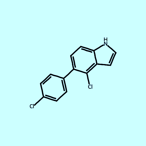 Clc1ccc(-c2ccc3[nH]ccc3c2Cl)cc1